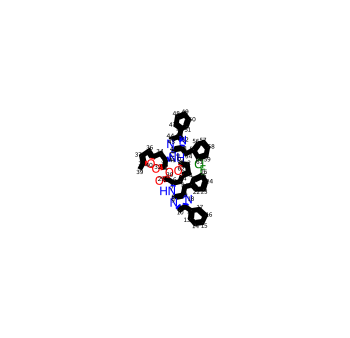 CCc1ccc(CC(Nc2ncc(-c3ccccc3)nc2Cc2cccc(F)c2)C(=O)OC(=O)C(Cc2ccc(C)o2)Nc2ncc(-c3ccccc3)nc2Cc2ccccc2Cl)o1